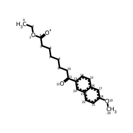 CCOC(=O)CCCCCCC(=O)c1ccc2cc(OC)ccc2c1